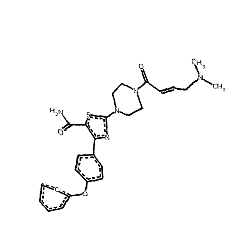 CN(C)C/C=C/C(=O)N1CCN(c2nc(-c3ccc(Oc4ccccc4)cc3)c(C(N)=O)s2)CC1